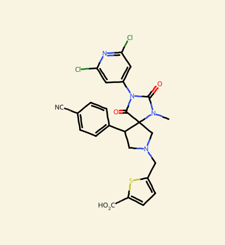 CN1C(=O)N(c2cc(Cl)nc(Cl)c2)C(=O)C12CN(Cc1ccc(C(=O)O)s1)CC2c1ccc(C#N)cc1